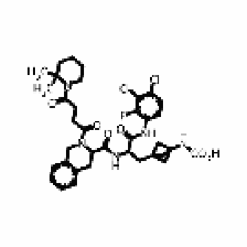 CC1(C)CCCCN1C(=O)CCC(=O)N1Cc2ccccc2CC1C(=O)NC(CC12CC(NC(=O)O)(C1)C2)C(=O)Nc1ccc(Cl)c(Cl)c1F